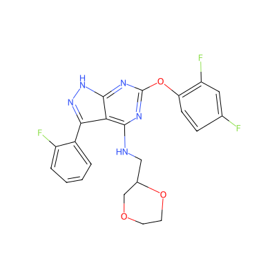 Fc1ccc(Oc2nc(NCC3COCCO3)c3c(-c4ccccc4F)n[nH]c3n2)c(F)c1